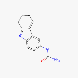 NC(=O)Nc1ccc2c(c1)C1=CCCCC1=N2